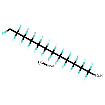 CNC.O=S(=O)(O)C(F)(F)C(F)(F)C(F)(F)C(F)(F)C(F)(F)C(F)(F)C(F)(F)C(F)(F)C(F)(F)C(F)(F)C(F)(F)CF